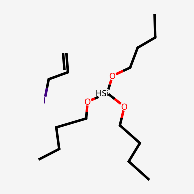 C=CCI.CCCCO[SiH](OCCCC)OCCCC